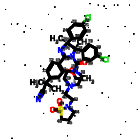 CCOc1cc(C(C)(C)C#N)ccc1C1=N[C@@](C)(c2ccc(Cl)cc2)[C@@](C)(c2ccc(Cl)cc2)N1C(=O)N1CCN(CCN2CCCS2(=O)=O)CC1